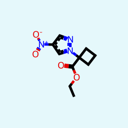 CCOC(=O)C1(n2cc([N+](=O)[O-])cn2)CCC1